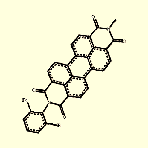 CC(C)c1cccc(C(C)C)c1N1C(=O)c2ccc3c4ccc5c6c(ccc(c7ccc(c2c37)C1=O)c64)C(=O)N(C)C5=O